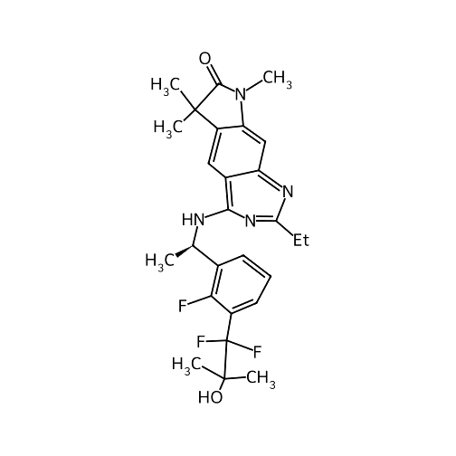 CCc1nc(N[C@H](C)c2cccc(C(F)(F)C(C)(C)O)c2F)c2cc3c(cc2n1)N(C)C(=O)C3(C)C